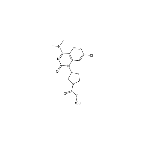 CN(C)c1nc(=O)n(C2CCN(C(=O)OC(C)(C)C)C2)c2cc(Cl)ccc12